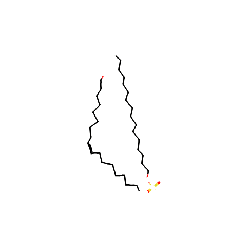 CCCCCCCC/C=C\CCCCCCCCO.CCCCCCCCCCCCCCCCOS(=O)(=O)O